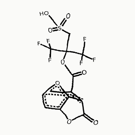 O=C(OC(CS(=O)(=O)O)(C(F)(F)F)C(F)(F)F)c1c2c3oc1cc3OC2=O